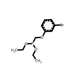 CCOP(COc1cccc(Br)c1)OCC